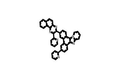 c1ccc(-c2ccc3c(c2)c2cc(-c4nc5ccc6ccccc6c5nc4-c4ccccn4)ccc2c2c3nc3ccccn32)nc1